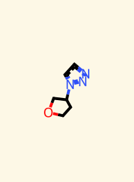 c1cn(C2CCOC2)nn1